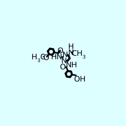 CNc1cc(NC(=O)c2cccc(CO)c2)nc(NC(=O)c2cccc(OC)c2)n1